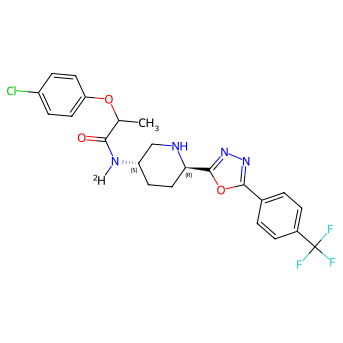 [2H]N(C(=O)C(C)Oc1ccc(Cl)cc1)[C@H]1CC[C@H](c2nnc(-c3ccc(C(F)(F)F)cc3)o2)NC1